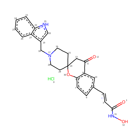 Cl.O=C(/C=C/c1ccc2c(c1)C(=O)CC1(CCN(Cc3c[nH]c4ccccc34)CC1)O2)NO